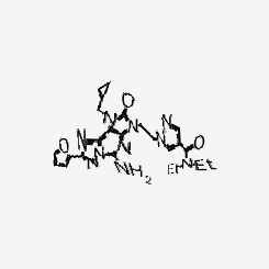 CCN(CC)C(=O)c1cnn(CCn2c(=O)n(CC3CC3)c3c2nc(N)n2nc(-c4ccco4)nc32)c1